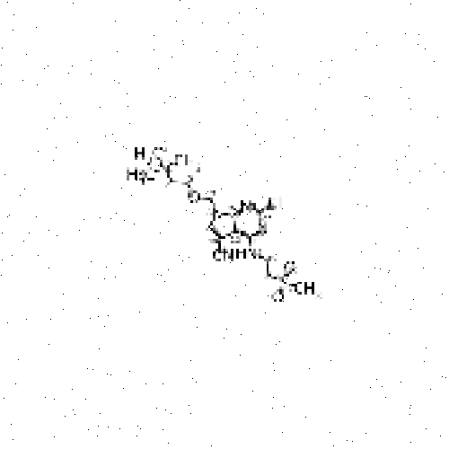 C[Si](C)(C)CCOCn1cc(C#N)c2c(NCCS(C)(=O)=O)nc(Cl)nc21